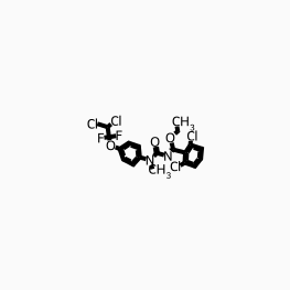 CCOC(=NC(=O)N(C)c1ccc(OC(F)(F)C(Cl)Cl)cc1)c1c(Cl)cccc1Cl